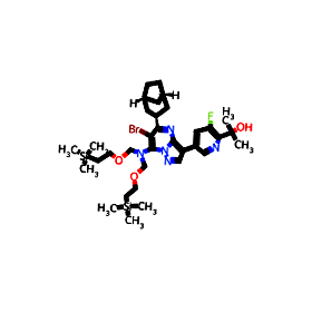 CC(C)(O)c1ncc(-c2cnn3c(N(COCC[Si](C)(C)C)COCC[Si](C)(C)C)c(Br)c([C@H]4C[C@@H]5CC[C@@H](C5)C4)nc23)cc1F